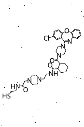 O=C(CN1CCN(CCNC(=O)C2CCCCC2C(=O)N2CCN(C3=Nc4ccccc4Oc4ccc(Cl)cc43)CC2)CC1)NCCS